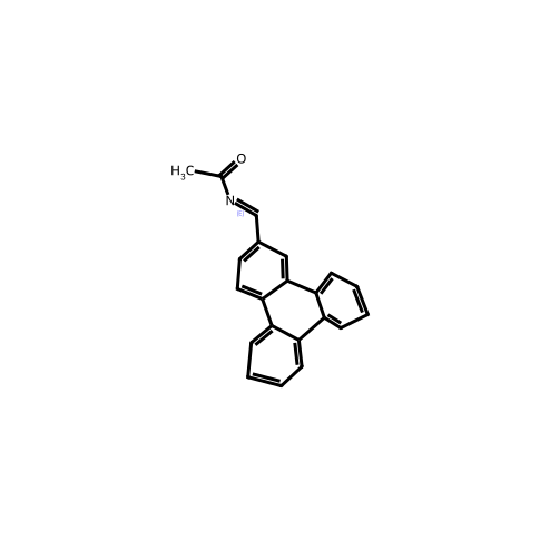 CC(=O)/N=C/c1ccc2c3ccccc3c3ccccc3c2c1